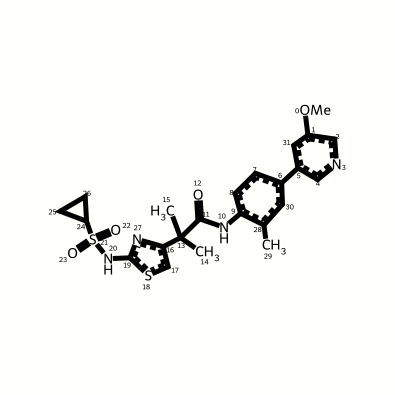 COc1cncc(-c2ccc(NC(=O)C(C)(C)c3csc(NS(=O)(=O)C4CC4)n3)c(C)c2)c1